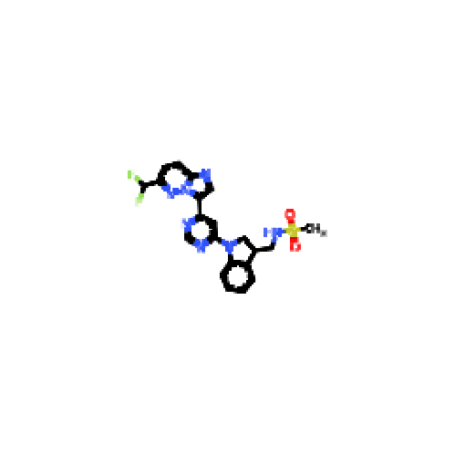 CS(=O)(=O)NCC1CN(c2cc(-c3cnc4ccc(C(F)F)nn34)ncn2)c2ccccc21